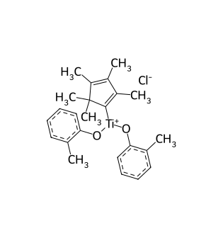 CC1=C(C)C(C)(C)[C]([Ti+]([O]c2ccccc2C)[O]c2ccccc2C)=C1C.[Cl-]